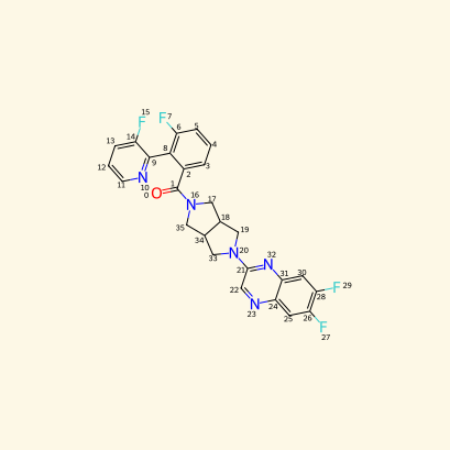 O=C(c1cccc(F)c1-c1ncccc1F)N1CC2CN(c3cnc4cc(F)c(F)cc4n3)CC2C1